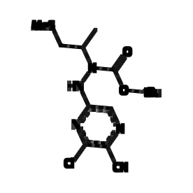 CSCC(C)N(Nc1cnc(C#N)c(Cl)n1)C(=O)OC(C)(C)C